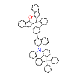 c1ccc(N(c2cccc3c2-c2ccccc2C3(c2ccccc2)c2ccccc2)c2ccc(-c3ccc4c(c3)-c3ccccc3C43c4ccc5ccccc5c4Oc4c3ccc3ccccc43)c3ccccc23)cc1